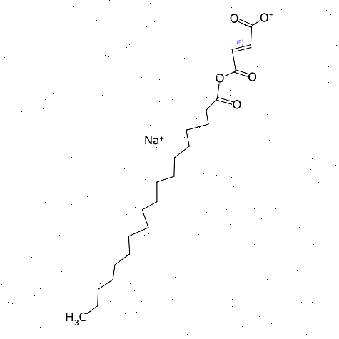 CCCCCCCCCCCCCCCCCC(=O)OC(=O)/C=C/C(=O)[O-].[Na+]